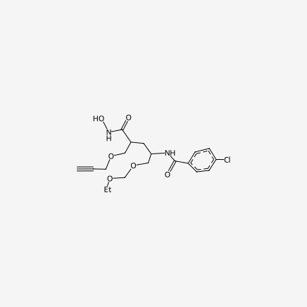 C#CCOCC(CC(COCOCC)NC(=O)c1ccc(Cl)cc1)C(=O)NO